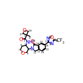 CC1(C(=O)NC2CCOC[C@@H]2N2Cc3ccc(-c4noc(C(F)(F)F)n4)cc3C2=O)COC1